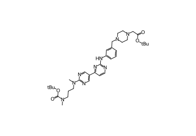 CN(CCCN(C)c1ncc(-c2ccnc(Nc3cccc(CN4CCN(CC(=O)OC(C)(C)C)CC4)c3)n2)cn1)C(=O)OC(C)(C)C